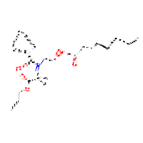 C=CCOC(=O)C1(N(CCOC(=O)CCCCCCC)C(=O)c2ccccc2)CC1